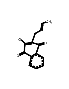 C/C=C/CC1=C(Cl)C(=O)c2ccccc2C1=O